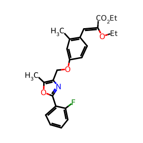 CCOC(=O)/C(=C/c1ccc(OCc2nc(-c3ccccc3F)oc2C)cc1C)OCC